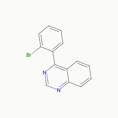 Brc1ccccc1-c1n[c]nc2ccccc12